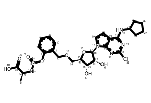 C[C@H](N[PH](=O)Oc1ccccc1COC[C@H]1O[C@@H](n2ccc3c(NC4CCCC4)nc(Cl)nc32)[C@H](O)[C@@H]1O)C(=O)O